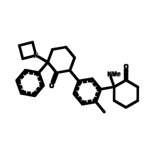 CNC1(c2cc(C3CCCC(c4ccccc4)(N4CCC4)C3=O)ccc2C)CCCCC1=O